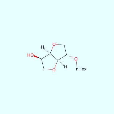 CCCCCCO[C@H]1CO[C@H]2[C@@H]1OC[C@H]2O